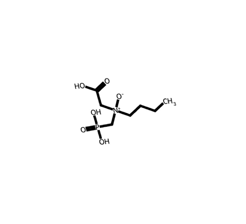 CCCC[N+]([O-])(CC(=O)O)CP(=O)(O)O